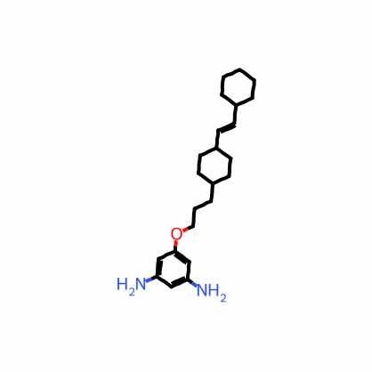 Nc1cc(N)cc(OCCCC2CCC(/C=C/C3CCCCC3)CC2)c1